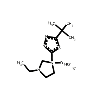 CCN1CC[N+]([O-])(c2nnc(C(C)(C)C)s2)C1.[K+].[OH-]